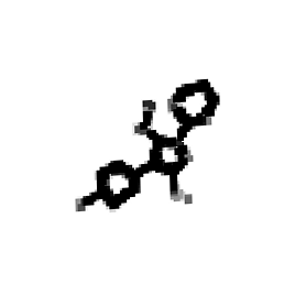 CCNc1c(-c2ccc(Cl)cc2)c(C(F)(F)F)nn1-c1ncccn1